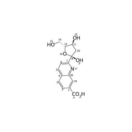 O=C(O)c1ccc2ccc([C@@]3(O)C[C@H](O)[C@@H](CO)O3)nc2c1